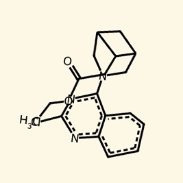 CCOC(=O)CC1C2CC1CN(c1nc(Cl)nc3ccccc13)C2